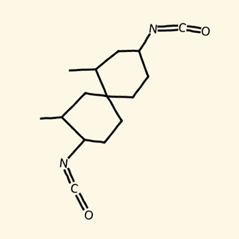 CC1CC2(CCC(N=C=O)CC2C)CCC1N=C=O